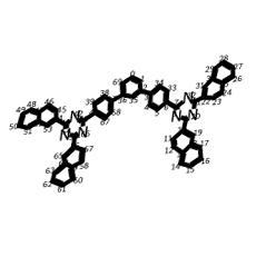 c1cc(-c2ccc(-c3nc(-c4ccc5ccccc5c4)nc(-c4ccc5ccccc5c4)n3)cc2)cc(-c2ccc(-c3nc(-c4ccc5ccccc5c4)nc(-c4ccc5ccccc5c4)n3)cc2)c1